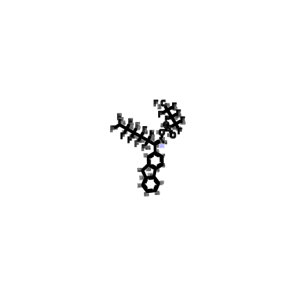 O=S(=O)(O/N=C(/c1ccc2c(c1)Cc1ccccc1-2)C(F)(F)C(F)(F)C(F)(F)C(F)(F)C(F)F)C(F)(F)C(F)(F)C(F)(F)C(F)(F)F